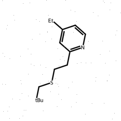 CCc1ccnc(CCSCC(C)(C)C)c1